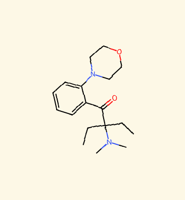 CCC(CC)(C(=O)c1ccccc1N1CCOCC1)N(C)C